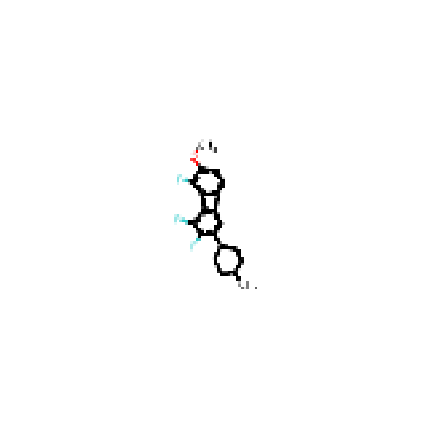 COc1ccc2c(c1F)-c1c-2cc(C2CCC(C)CC2)c(F)c1F